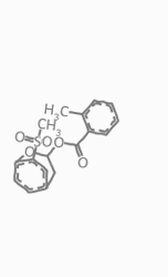 Cc1ccccc1C(=O)OC1Cc2ccc(c(S(C)(=O)=O)c2)O1